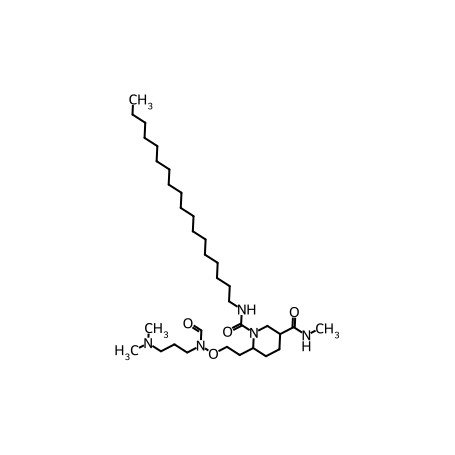 CCCCCCCCCCCCCCCCCCNC(=O)N1CC(C(=O)NC)CCC1CCON(C=O)CCCN(C)C